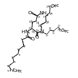 CCCCCCCCCCCCCCCCCC(=O)N[C@@H](CCC(N)=O)C(=O)N(CCCCCCCCCCCCCC)CCCCCCCCCCCCCC